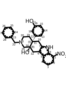 O=[N+]([O-])c1cccc2c3c([nH]c12)C[C@]1(c2cccc(O)c2)CCN(Cc2ccccc2)C[C@@]1(O)C3